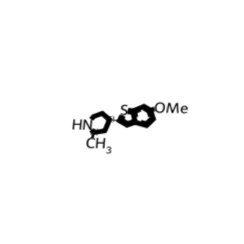 COc1ccc2cc([C@H]3CCN[C@H](C)C3)sc2c1